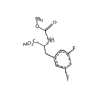 CC(C)(C)OC(=O)NC(Cc1cc(F)cc(F)c1)C(=O)O